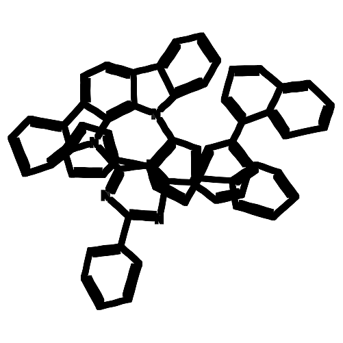 c1ccc(-c2ccc(-c3ccccc3)c(-n3c4ccccc4c4ccc5c6ccccc6n(-c6nc(-c7ccccc7)nc(-c7cccc(-c8cccc9ccccc89)c7)n6)c5c43)c2)cc1